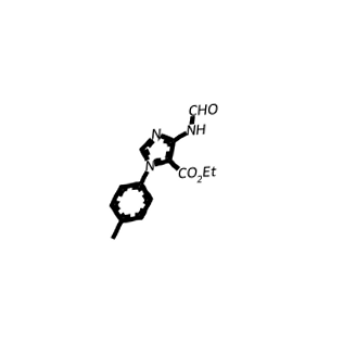 CCOC(=O)c1c(NC=O)ncn1-c1ccc(C)cc1